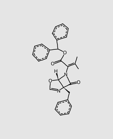 CC(C)=C(C(=O)OC(c1ccccc1)c1ccccc1)N1C(=O)[C@]2(Cc3ccccc3)N=CO[C@H]12